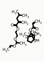 C=CC(=O)O[C@H]1C[C@@H]2CC[C@@]1(C)C2(C)C.C=COC(C)OCCOC(=O)C(=C)CC(C)C